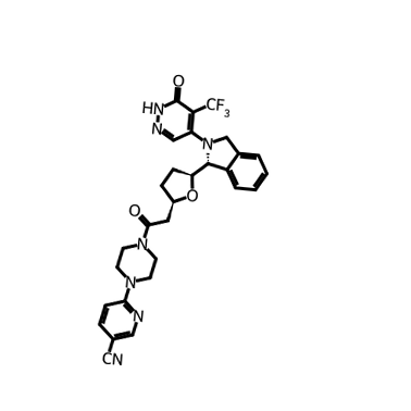 N#Cc1ccc(N2CCN(C(=O)C[C@H]3CC[C@@H]([C@H]4c5ccccc5CN4c4cn[nH]c(=O)c4C(F)(F)F)O3)CC2)nc1